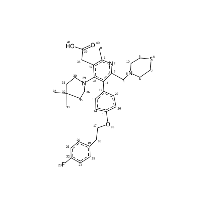 Cc1nc(CN2CCSCC2)c(-c2ccc(OCCc3ccc(F)cc3)cc2)c(N2CCC(C)(C)CC2)c1CC(=O)O